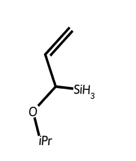 C=CC([SiH3])OC(C)C